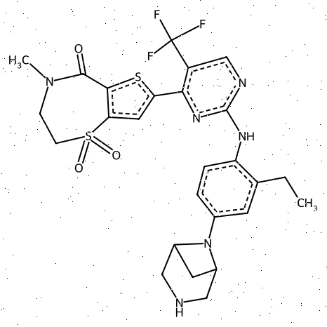 CCc1cc(N2C3CNCC2C3)ccc1Nc1ncc(C(F)(F)F)c(-c2cc3c(s2)C(=O)N(C)CCS3(=O)=O)n1